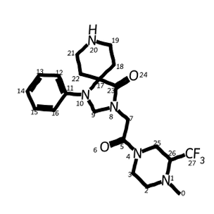 CN1CCN(C(=O)CN2CN(c3ccccc3)C3(CCNCC3)C2=O)CC1C(F)(F)F